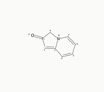 O=C1C=C2C=CC=CN2C1